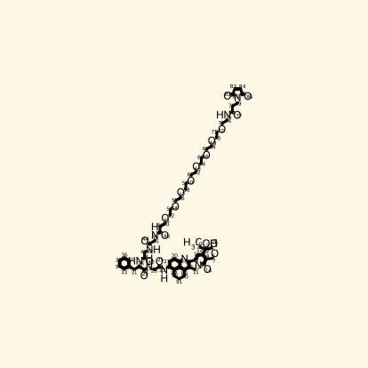 CC[C@@]1(O)C(=O)OCc2c1cc1n(c2=O)Cc2c-1nc1ccc(NC(=O)CNC(=O)C(Cc3ccccc3)NC(=O)CNC(=O)CNC(=O)CCOCCOCCOCCOCCOCCOCCOCCOCCNC(=O)CCN3C(=O)C=CC3=O)c3c1c2CCC3